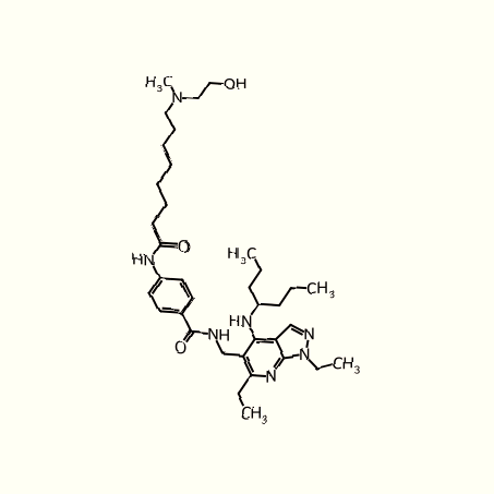 CCCC(CCC)Nc1c(CNC(=O)c2ccc(NC(=O)CCCCCCCN(C)CCO)cc2)c(CC)nc2c1cnn2CC